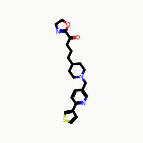 O=C(CCCC1CCN(Cc2ccc(-c3ccsc3)nc2)CC1)C1=NCCO1